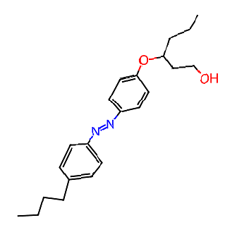 CCCCc1ccc(N=Nc2ccc(OC(CCC)CCO)cc2)cc1